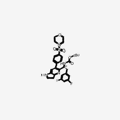 CC(C)(C)OC(=O)N[C@H](Cc1cc(F)cc(F)c1)c1nc2cc[nH]c2cc1-c1ccc(S(=O)(=O)N2CCOCC2)cc1